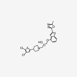 Cc1nnc(-c2cc3c(OC[C@@H](O)CN4CCC(c5cc(Cl)c(Cl)s5)CC4)cccc3o2)o1